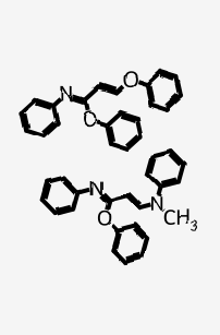 C(=CC(=Nc1ccccc1)Oc1ccccc1)Oc1ccccc1.CN(C=CC(=Nc1ccccc1)Oc1ccccc1)c1ccccc1